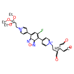 CCO[Si](CC[n+]1ccc(-c2cc(F)c(-c3cc[n+](CCC(=C=O)[SiH](C=C=O)C=C=O)cc3)c3nonc23)cc1)(OCC)OCC